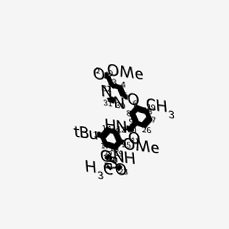 COC(=O)c1cc(Oc2cc(C(=O)Nc3cc(C(C)(C)C)cc(NS(C)(=O)=O)c3OC)ccc2C)ncn1